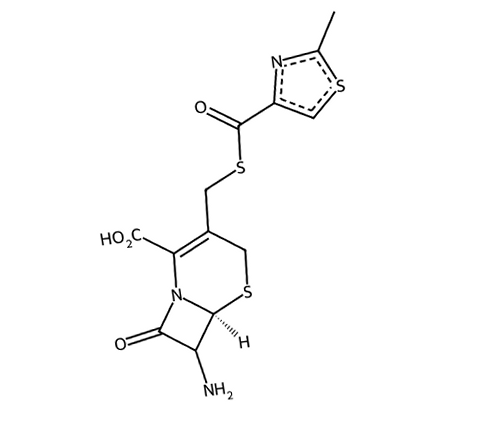 Cc1nc(C(=O)SCC2=C(C(=O)O)N3C(=O)C(N)[C@@H]3SC2)cs1